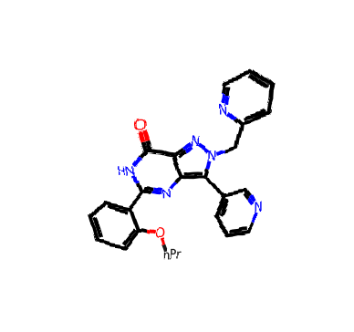 CCCOc1ccccc1-c1nc2c(-c3cccnc3)n(Cc3ccccn3)nc2c(=O)[nH]1